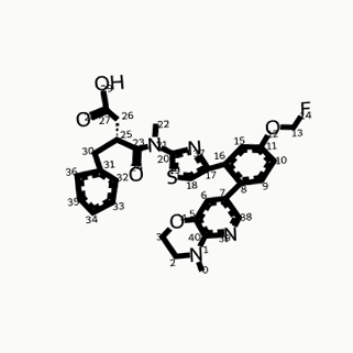 CN1CCOc2cc(-c3ccc(OCF)cc3-c3csc(N(C)C(=O)[C@@H](CC(=O)O)Cc4ccccc4)n3)cnc21